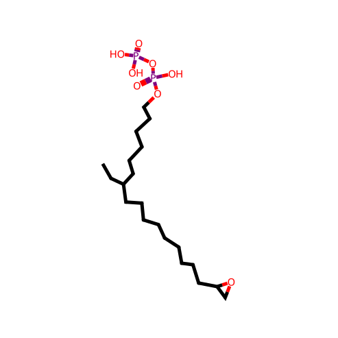 CCC(CCCCCCCCCC1CO1)CCCCCCOP(=O)(O)OP(=O)(O)O